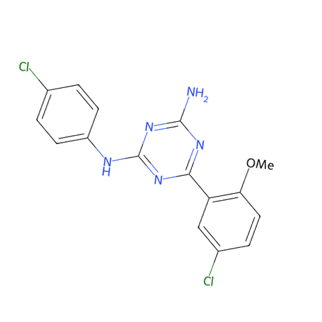 COc1ccc(Cl)cc1-c1nc(N)nc(Nc2ccc(Cl)cc2)n1